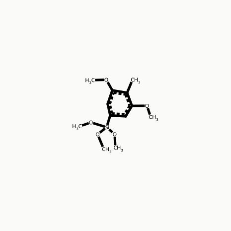 COc1cc([Si](OC)(OC)OC)cc(OC)c1C